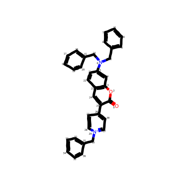 O=c1oc2cc(N(Cc3ccccc3)Cc3ccccc3)ccc2cc1-c1cc[n+](Cc2ccccc2)cc1